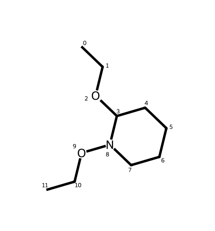 CCOC1CCCCN1OCC